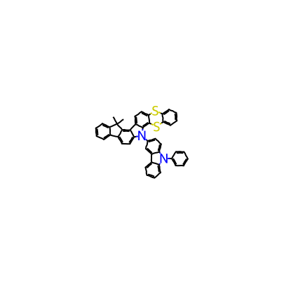 CC1(C)c2ccccc2-c2ccc3c(c21)c1ccc2c(c1n3-c1ccc3c(c1)c1ccccc1n3-c1ccccc1)Sc1ccccc1S2